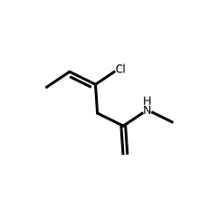 C=C(C/C(Cl)=C\C)NC